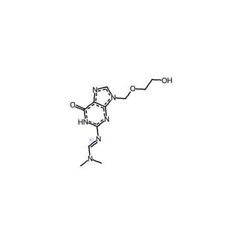 CN(C)/C=N/c1nc2c(ncn2COCCO)c(=O)[nH]1